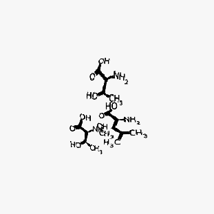 CC(C)C[C@H](N)C(=O)O.CO.C[C@@H](O)[C@H](N)C(=O)O.C[C@@H](O)[C@H](N)C(=O)O